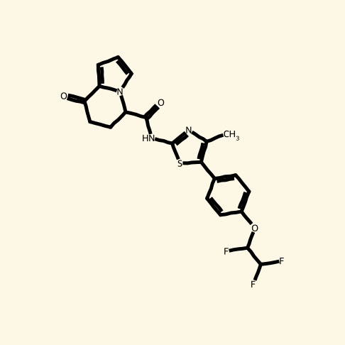 Cc1nc(NC(=O)C2CCC(=O)c3cccn32)sc1-c1ccc(OC(F)C(F)F)cc1